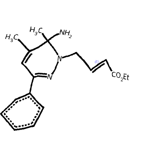 CCOC(=O)/C=C/CN1N=C(c2ccccc2)C=C(C)C1(C)N